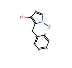 CC(C)(C)n1ccc(O)c1Cc1ccccc1